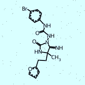 CC1(CCc2ccco2)NC(=O)N(NC(=O)Nc2ccc(Br)cc2)C1=N